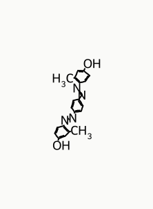 Cc1cc(O)ccc1N=Nc1ccc(N=Nc2ccc(O)cc2C)cc1